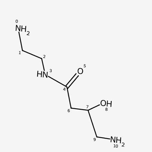 NCCNC(=O)CC(O)CN